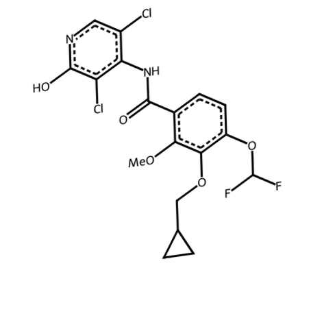 COc1c(C(=O)Nc2c(Cl)cnc(O)c2Cl)ccc(OC(F)F)c1OCC1CC1